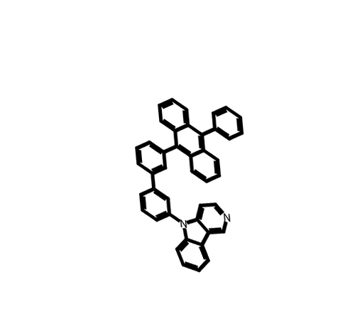 c1ccc(-c2c3ccccc3c(-c3cccc(-c4cccc(-n5c6ccccc6c6cnccc65)c4)c3)c3ccccc23)cc1